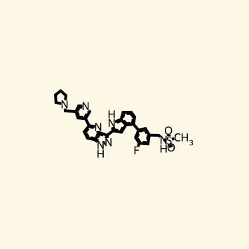 CS(=O)(=O)NCc1cc(F)cc(-c2cccc3[nH]c(-c4n[nH]c5ccc(-c6cncc(CN7CCCC7)c6)nc45)cc23)c1